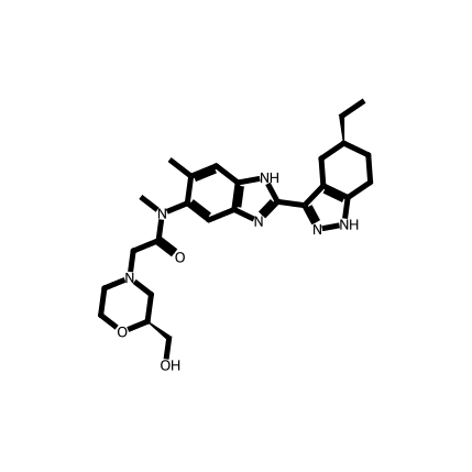 CC[C@H]1CCc2[nH]nc(-c3nc4cc(N(C)C(=O)CN5CCO[C@H](CO)C5)c(C)cc4[nH]3)c2C1